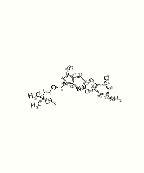 CC(C)c1cn(COCC[Si](C)(C)C)c2nnc(Oc3c(Cl)cc(N)cc3Cl)cc12